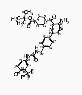 CC(C)(C)OC(=O)N1CCN(C(=O)C2N=C(c3ccc(CNC(=O)Nc4ccc(Cl)c(C(F)(F)F)c4)cc3)C=NC2N)CC1